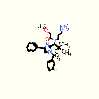 COCC(=O)N(C[C@H](F)CN)[C@@H](c1nc(-c2ccccc2)cn1Cc1cccc(F)c1)C(C)(C)C